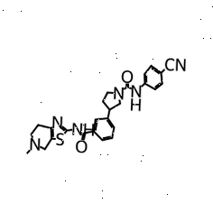 CN1CCc2nc(NC(=O)c3cccc(C4CCN(C(=O)Nc5ccc(C#N)cc5)C4)c3)sc2C1